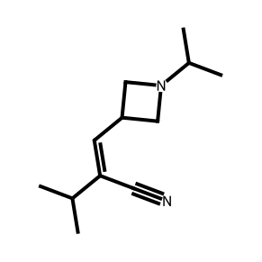 CC(C)/C(C#N)=C/C1CN(C(C)C)C1